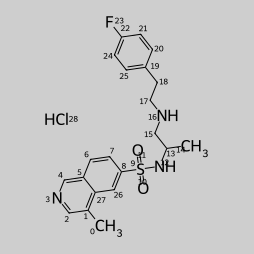 Cc1cncc2ccc(S(=O)(=O)NC(C)CNCCc3ccc(F)cc3)cc12.Cl